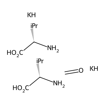 C=O.CC(C)[C@H](N)C(=O)O.CC(C)[C@H](N)C(=O)O.[KH].[KH]